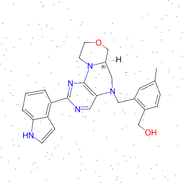 Cc1ccc(CO)c(CN2C[C@@H]3COCCN3c3nc(-c4cccc5[nH]ccc45)ncc32)c1